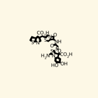 Nc1nc(C(ON=CC(=O)NC2C(=O)N3C(C(=O)O)=C(Cc4cnc5sccc5c4)SCC23)(C(=O)O)c2ccc(O)c(O)c2)cs1